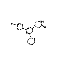 O=C1CN(c2cc(-c3ccc(Cl)cc3)nc(-c3cccnc3)n2)CCN1